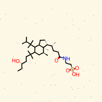 CC[C@H](O)CCC(C)(C)C1C[C@H](C)[C@@]2(C)C(CC[C@@H]2[C@H](C)CCC(=O)NCCS(=O)(=O)O)C1C(C)(C)C(C)C